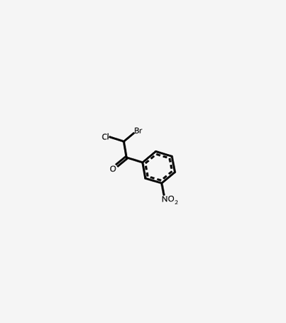 O=C(c1cccc([N+](=O)[O-])c1)C(Cl)Br